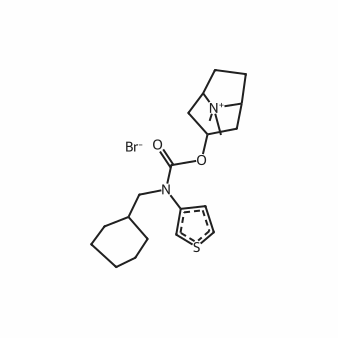 C[N+]1(C)C2CCC1CC(OC(=O)N(CC1CCCCC1)c1ccsc1)C2.[Br-]